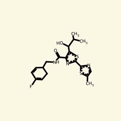 Cc1cnc(-c2nc(C(=O)NCC3C=CC(F)=CC3)c(C(O)C(C)C)s2)s1